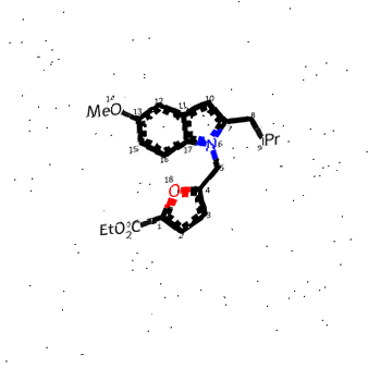 CCOC(=O)c1ccc(Cn2c(CC(C)C)cc3cc(OC)ccc32)o1